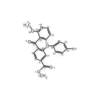 COC(=O)c1ccc(C(=O)c2cccnc2OC)c(Oc2ccc(I)cc2)c1